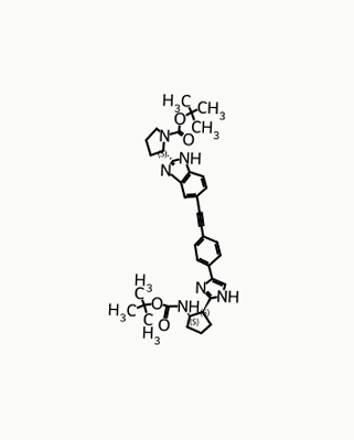 CC(C)(C)OC(=O)N[C@H]1CCC[C@@H]1c1nc(-c2ccc(C#Cc3ccc4[nH]c([C@@H]5CCCN5C(=O)OC(C)(C)C)nc4c3)cc2)c[nH]1